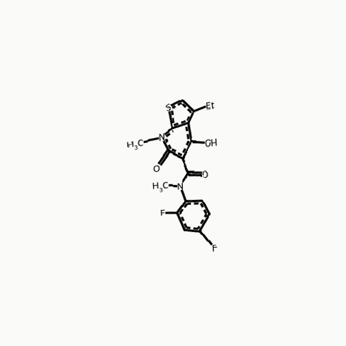 CCc1csc2c1c(O)c(C(=O)N(C)c1ccc(F)cc1F)c(=O)n2C